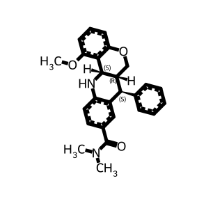 COc1cccc2c1[C@H]1Nc3ccc(C(=O)N(C)C)cc3[C@H](c3ccccc3)[C@H]1CO2